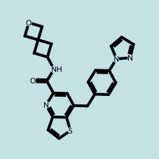 O=C(NC1CC2(COC2)C1)c1cc(Cc2ccc(-n3cccn3)cc2)c2sccc2n1